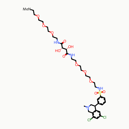 CNCCOCCOCCOCCNC(=O)[C@@H](O)[C@H](O)C(=O)NCCOCCOCCOCCNS(=O)(=O)c1cccc(C2CN(C)Cc3c(Cl)cc(Cl)cc32)c1